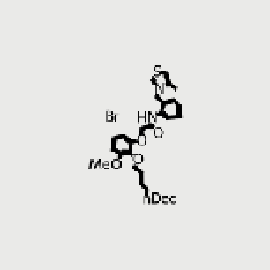 CCCCCCCCCCCCCCOc1c(OC)cccc1OCC(=O)Nc1ccccc1C[n+]1cscc1C.[Br-]